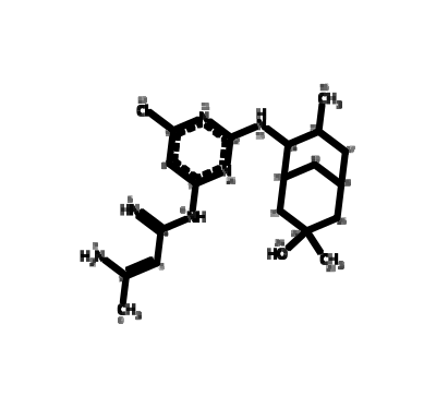 C/C(N)=C/C(=N)Nc1cc(Cl)nc(NC2C(C)CC3CC2CC(C)(O)C3)n1